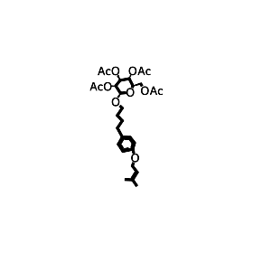 CC(=O)OC[C@H]1O[C@@H](OCCCCc2ccc(OCC=C(C)C)cc2)[C@H](OC(C)=O)[C@@H](OC(C)=O)[C@@H]1OC(C)=O